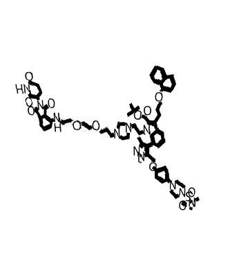 Cc1nn(C)c(COc2ccc(N3CCN(S(=O)(=O)N(C)C)CC3)cc2)c1-c1cccc2c(CCCOc3cccc4ccccc34)c(C(=O)OC(C)(C)C)n(CCN3CCN(CCCOCCOCCNc4cccc5c4C(=O)N(C4CCC(=O)NC4=O)C5=O)CC3)c12